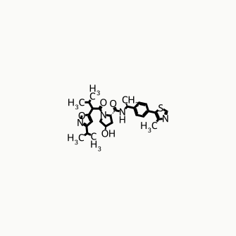 Cc1ncsc1-c1ccc([C@H](C)NC(=O)[C@@H]2C[C@@H](O)CN2C(=O)C(c2cc(C(C)C)no2)C(C)C)cc1